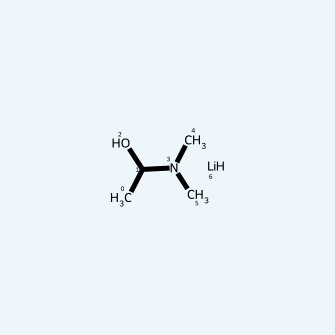 CC(O)N(C)C.[LiH]